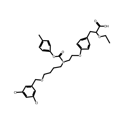 CCOC(Cc1ccc(OCCN(CCCCOCc2cc(Cl)cc(Cl)c2)C(=O)Oc2ccc(C)cc2)cc1)C(=O)O